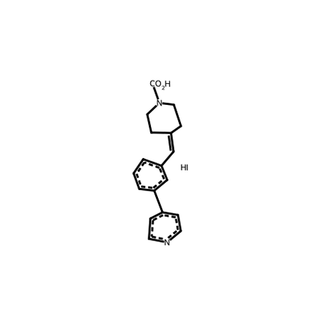 I.O=C(O)N1CCC(=Cc2cccc(-c3ccncc3)c2)CC1